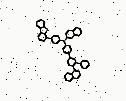 c1ccc(-c2cc(-c3ccc(N(c4ccc(-c5cccc6c5sc5ccccc56)cc4)c4ccc5ccccc5c4)cc3)ccc2-c2cccc3ccccc23)cc1